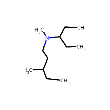 CCC(C)CCN(C)C(CC)CC